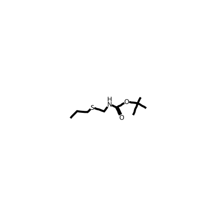 CCCSCNC(=O)OC(C)(C)C